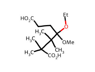 CCOC(CCC(=O)O)(OC)C(C)(C)C(C)(C)C(=O)O